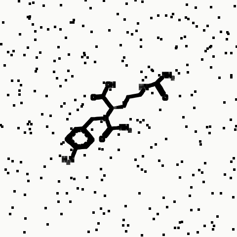 NC(=O)NCCC[C@@H](C(=O)O)N(Cc1ccc(N)cc1)C(N)=O